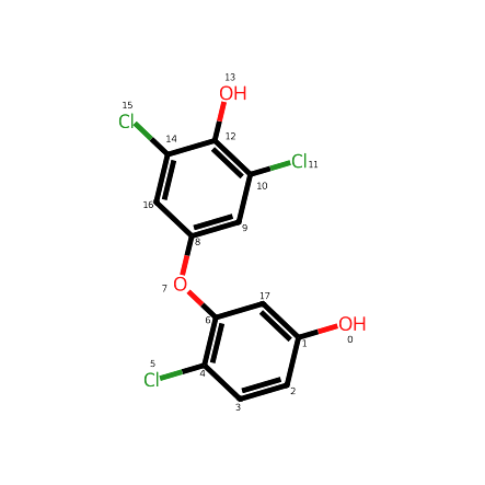 Oc1ccc(Cl)c(Oc2cc(Cl)c(O)c(Cl)c2)c1